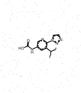 O=C(O)Nc1cnc(-n2ccnn2)c(C(F)F)c1